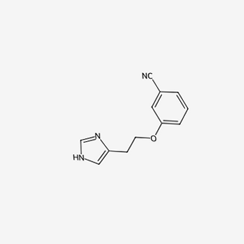 N#Cc1cccc(OCCc2c[nH]cn2)c1